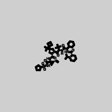 C=C[C@@H]1C[C@]1(NC(=O)[C@@H]1C[C@@]2(CN1C(=O)[C@@H](NC(=O)[C@@H](NC(=O)[C@@H]1CCCCN1C(C)C)C1CCCCC1)C(C)(C)C)C(C)(C)C21CCC1)C(=O)NS(=O)(=O)C1CCCC1